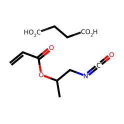 C=CC(=O)OC(C)CN=C=O.O=C(O)CCC(=O)O